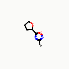 CC(C)c1noc(C2CCCO2)n1